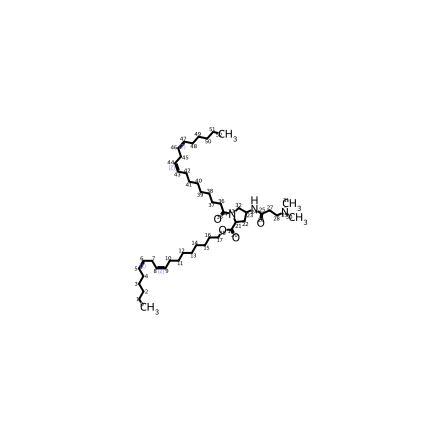 CCCCC/C=C\C/C=C\CCCCCCCCOC(=O)C1CC(NC(=O)CCN(C)C)CN1C(=O)CCCCCCC/C=C\C/C=C\CCCCC